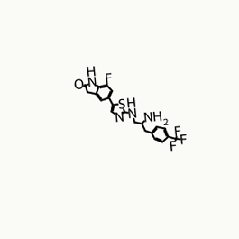 NC(CNc1ncc(-c2cc(F)c3c(c2)CC(=O)N3)s1)Cc1ccc(C(F)(F)F)cc1